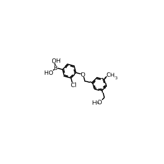 Cc1cc(CO)cc(COc2ccc(B(O)O)cc2Cl)c1